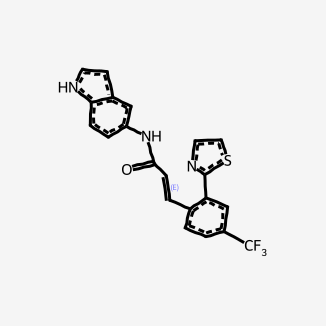 O=C(/C=C/c1ccc(C(F)(F)F)cc1-c1nccs1)Nc1ccc2[nH]ccc2c1